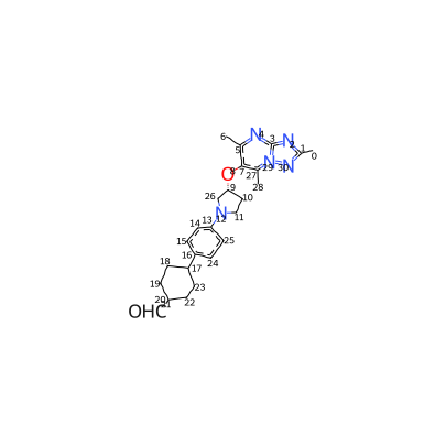 Cc1nc2nc(C)c(O[C@@H]3CCN(c4ccc(C5CCC(C=O)CC5)cc4)C3)c(C)n2n1